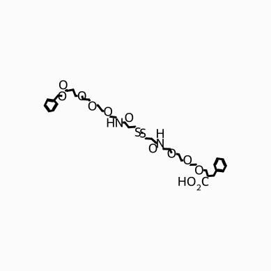 O=C(CCSSCCC(=O)NCCOCCOCCOCC(Cc1ccccc1)C(=O)O)NCCOCCOCCOCCC(=O)OCc1ccccc1